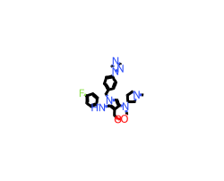 CN1CCC(N2COOCc3c2cn(Cc2ccc(-n4cncn4)cc2)c3Nc2ccc(F)cc2)C1